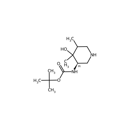 CC1CNC[C@@H](NC(=O)OC(C)(C)C)C1(C)O